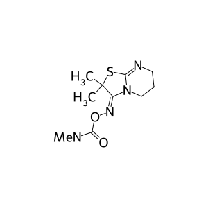 CNC(=O)ON=C1N2CCCN=C2SC1(C)C